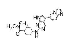 CN(C)C(=O)C1CCC(Nc2ncc3c(-c4ccc5nccn5c4)c[nH]c3n2)CC1